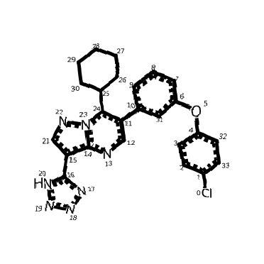 Clc1ccc(Oc2cccc(-c3cnc4c(-c5nnn[nH]5)cnn4c3C3CCCCC3)c2)cc1